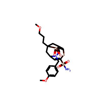 COCCCC12CC3=C(S/C(S(N)(=O)=O)=C\C(C1)N(Cc1ccc(OC)cc1)C3)S2(=O)=O